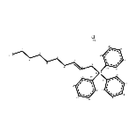 ICCCCCCC=CC[P+](c1ccccc1)(c1ccccc1)c1ccccc1.[Cl-]